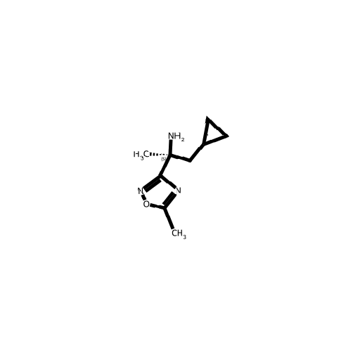 Cc1nc([C@@](C)(N)CC2CC2)no1